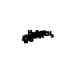 [11CH3]Oc1ccc2c(c1)sc1nc(C(=O)Nc3cccnc3)cn12